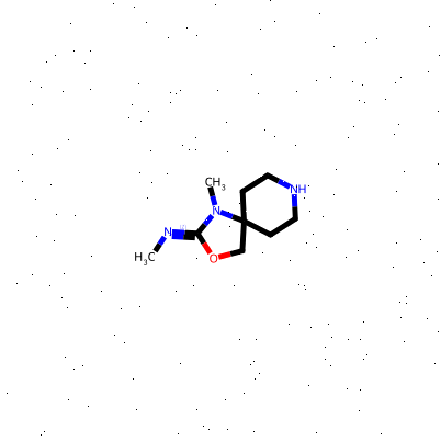 C/N=C1\OCC2(CCNCC2)N1C